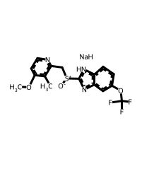 COc1ccnc(C[S+]([O-])c2nc3cc(OC(F)(F)F)ccc3[nH]2)c1C.[NaH]